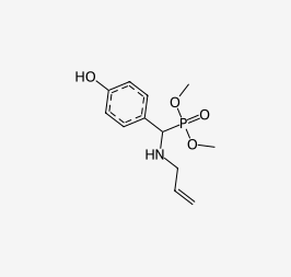 C=CCNC(c1ccc(O)cc1)P(=O)(OC)OC